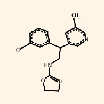 Cc1cncc(C(CNC2=NCCO2)c2cccc(Cl)c2)c1